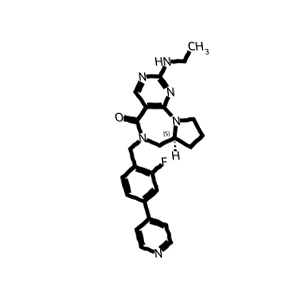 CCNc1ncc2c(n1)N1CCC[C@H]1CN(Cc1ccc(-c3ccncc3)cc1F)C2=O